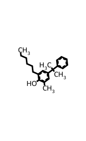 CCCCCCc1cc(C(C)(C)c2ccccc2)cc(C)c1O